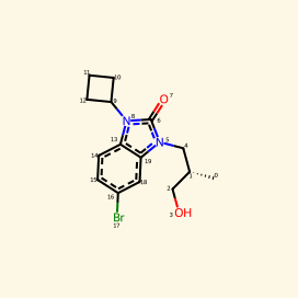 C[C@H](CO)Cn1c(=O)n(C2CCC2)c2ccc(Br)cc21